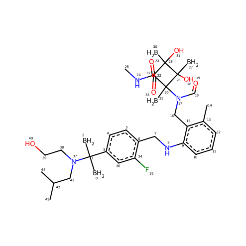 BC(B)(c1ccc(CNc2cccc(C)c2CN(C=O)C(B)(C(=O)NC)C(B)(O)C(B)(O)C=O)c(F)c1)N(CCO)CC(C)C